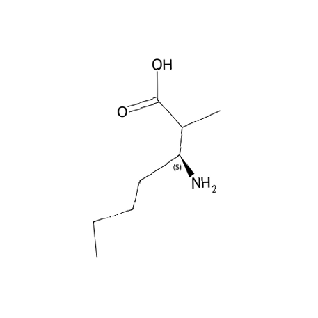 CCCC[C@H](N)C(C)C(=O)O